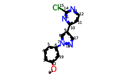 COc1cccc(-n2cc(-c3ccnc(Cl)n3)cn2)c1